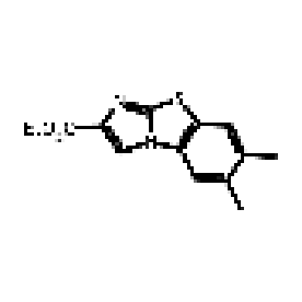 CCOC(=O)c1cn2c(n1)sc1cc(C)c(C)cc12